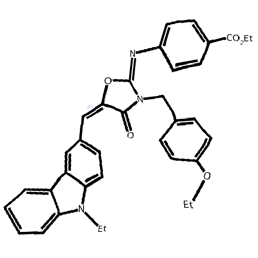 CCOC(=O)c1ccc(N=C2O/C(=C/c3ccc4c(c3)c3ccccc3n4CC)C(=O)N2Cc2ccc(OCC)cc2)cc1